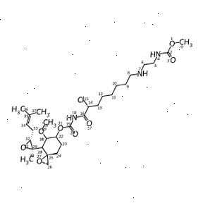 COC(=O)NCCNCCCCCCC(Cl)C(=O)NC(=O)OC1CC[C@]2(CO2)C([C@@]2(C)O[C@@H]2CC=C(C)C)C1OC